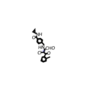 Cc1ccccc1C(=O)/C(Cl)=C(\C=O)NCc1ccc(C(=O)NC2CC2)cc1